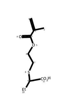 C=C(C)C(=O)OCCSC(CC)C(=O)O